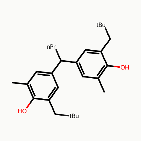 CCCC(c1cc(C)c(O)c(CC(C)(C)C)c1)c1cc(C)c(O)c(CC(C)(C)C)c1